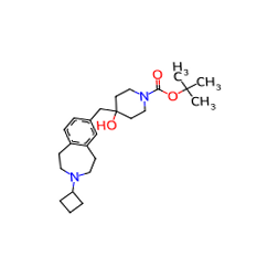 CC(C)(C)OC(=O)N1CCC(O)(Cc2ccc3c(c2)CCN(C2CCC2)CC3)CC1